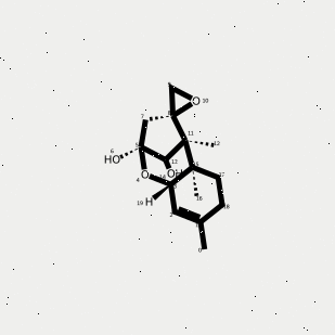 CC1=C[C@@H]2O[C@@]3(O)C[C@@]4(CO4)[C@](C)(C3O)[C@@]2(C)CC1